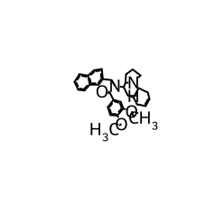 COc1ccc(C(=O)N(Cc2ccc3ccccc3c2)C(CC2CC=CCC2)C2CCCN2)cc1OC